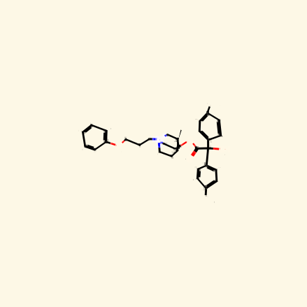 Cc1ccc(C(O)(C(=O)O[C@H]2C[N+]3(CCCOc4ccccc4)CCC2CC3)c2ccc(C)cc2)cc1